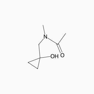 CC(=O)N(C)CC1(O)CC1